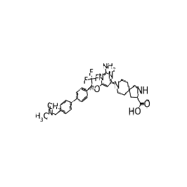 CN(C)Cc1ccc(-c2ccc([C@@H](Oc3cc(N4CCC5(CC4)CNC(C(=O)O)C5)nc(N)n3)C(F)(F)F)cc2)cc1